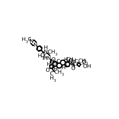 CC(C)C1=C2[C@H]3CC[C@@H]4[C@@]5(C)CC[C@H](OC(=O)[C@H]6C[C@@H](C(=O)O)C6(C)C)C(C)(C)[C@@H]5CC[C@@]4(C)[C@]3(C)CC[C@@]2(CC(=O)NCC(C)(C)NC(=O)c2ccc(N3CCN(C)CC3)cc2)CC1=O